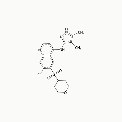 Cc1[nH]nc(Nc2ccnc3cc(Cl)c(S(=O)(=O)C4CCOCC4)cc23)c1C